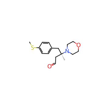 CSc1ccc(C[C@](C)(CC=O)N2CCOCC2)cc1